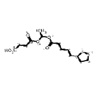 CC(OC(=O)CCCC[C@@H]1CCSS1)OC(=O)CCC(=O)O